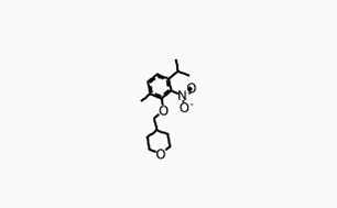 Cc1ccc(C(C)C)c([N+](=O)[O-])c1OCC1CCOCC1